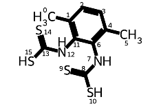 Cc1ccc(C)c(NC(=S)S)c1NC(=S)S